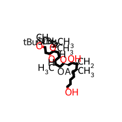 C=C(C(O)C[C@@H]1O[C@H]2CC(O[Si](C)(C)C(C)(C)C)C(CCO[Si](C)(C)C(C)(C)C)O[C@H]2[C@H](C)C1OC(C)=O)[C@H](C)CCCCCO